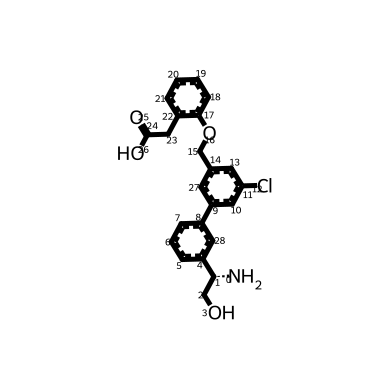 N[C@H](CO)c1cccc(-c2cc(Cl)cc(COc3ccccc3CC(=O)O)c2)c1